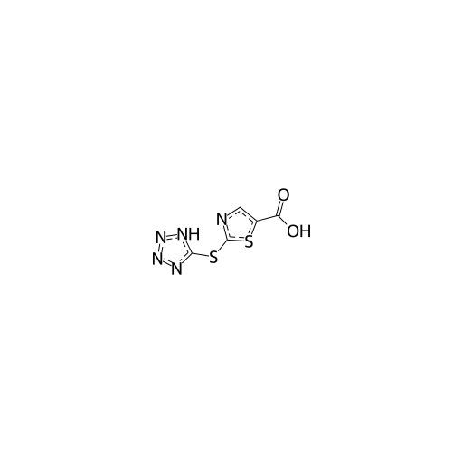 O=C(O)c1cnc(Sc2nnn[nH]2)s1